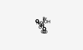 O=C(OCc1ccccc1)N(CC(O)C(O)CBr)c1ccc2c(c1)OCCO2